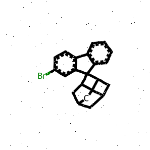 Brc1ccc2c(c1)C1(c3ccccc3-2)C2CC3CC4CC1C42C3